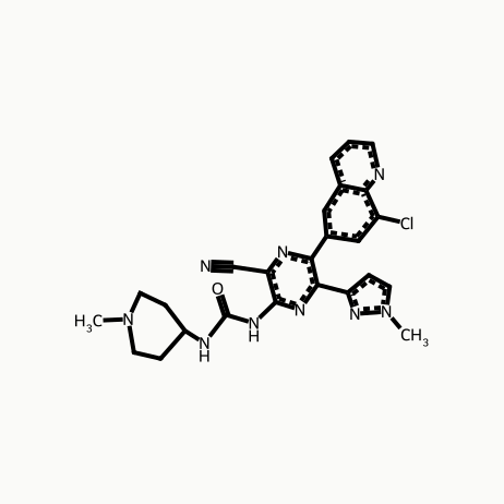 CN1CCC(NC(=O)Nc2nc(-c3ccn(C)n3)c(-c3cc(Cl)c4ncccc4c3)nc2C#N)CC1